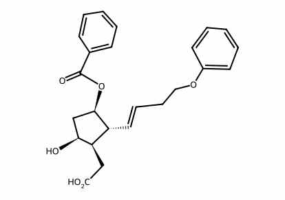 O=C(O)C[C@@H]1[C@@H](C=CCCOc2ccccc2)[C@H](OC(=O)c2ccccc2)C[C@@H]1O